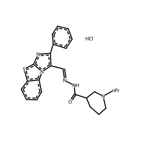 CCCN1CCCC(C(=O)NN=Cc2c(-c3ccccc3)nc3sc4ccccc4n23)C1.Cl